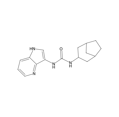 O=C(Nc1c[nH]c2cccnc12)NC1CC2CCC(C2)C1